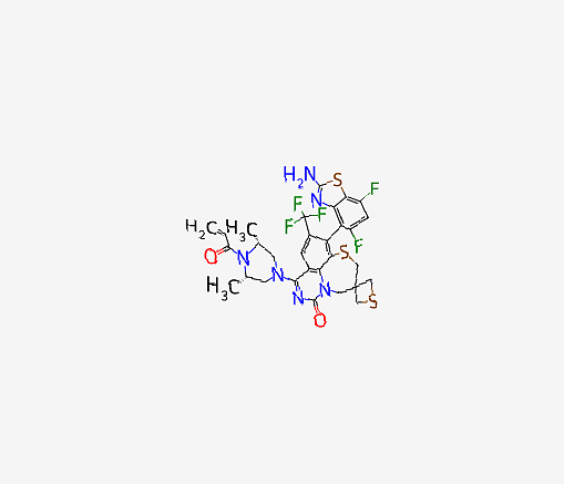 C=CC(=O)N1[C@H](C)CN(c2nc(=O)n3c4c(c(-c5c(F)cc(F)c6sc(N)nc56)c(C(F)(F)F)cc24)SCC2(CSC2)C3)C[C@@H]1C